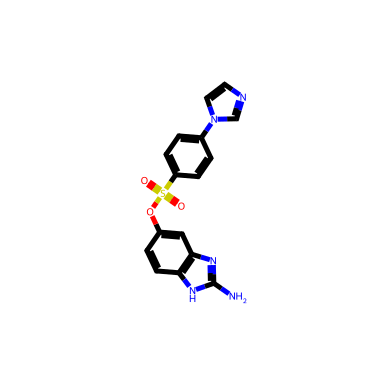 Nc1nc2cc(OS(=O)(=O)c3ccc(-n4ccnc4)cc3)ccc2[nH]1